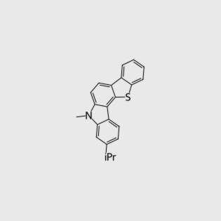 CC(C)c1ccc2c3c4sc5ccccc5c4ccc3n(C)c2c1